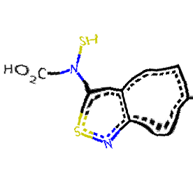 O=C(O)N(S)c1snc2ccccc12